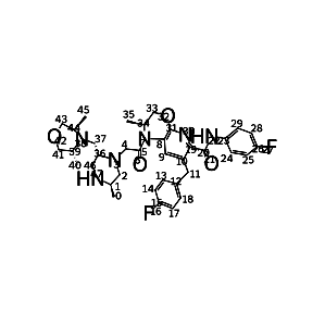 C[C@@H]1CN(CC(=O)N2c3cc(Cc4ccc(F)cc4)c(C(=O)Nc4ccc(F)cc4)nc3OC[C@@H]2C)[C@@H](CN2[C@H](C)COC[C@H]2C)CN1